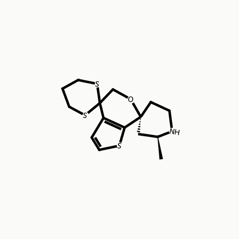 C[C@H]1C[C@@]2(CCN1)OCC1(SCCCS1)c1ccsc12